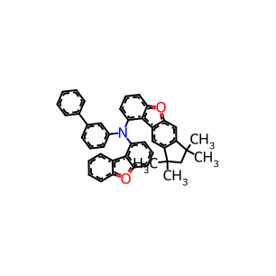 CC1(C)CC(C)(C)c2cc3c(cc21)oc1cccc(N(c2cccc(-c4ccccc4)c2)c2cccc4oc5ccccc5c24)c13